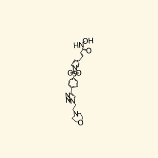 O=C(/C=C/c1ccn(S(=O)(=O)c2ccc(-c3cn(CCN4CCOCC4)nn3)cc2)c1)NO